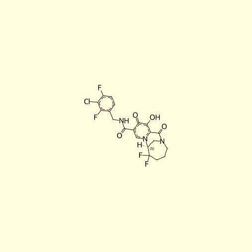 O=C(NCc1ccc(F)c(Cl)c1F)c1cn2c(c(O)c1=O)C(=O)N1CCCC(F)(F)[C@@H]2C1